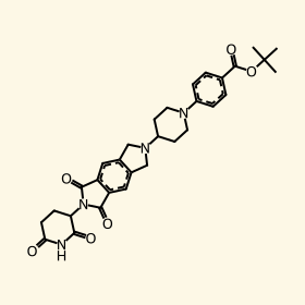 CC(C)(C)OC(=O)c1ccc(N2CCC(N3Cc4cc5c(cc4C3)C(=O)N(C3CCC(=O)NC3=O)C5=O)CC2)cc1